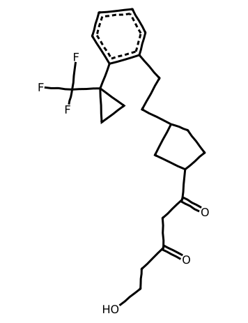 O=C(CCO)CC(=O)C1CCC(CCc2ccccc2C2(C(F)(F)F)CC2)C1